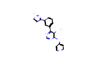 COc1c(Nc2ccncc2)ncnc1-c1cccc(-c2ccn(C)n2)c1